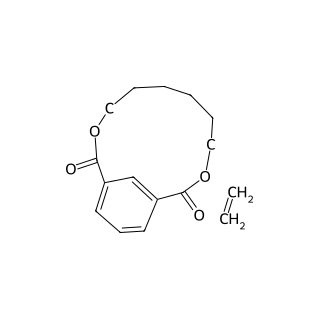 C=C.O=C1OCCCCCCOC(=O)c2cccc1c2